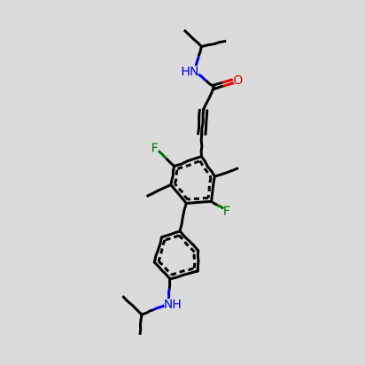 Cc1c(F)c(-c2ccc(NC(C)C)cc2)c(C)c(F)c1C#CC(=O)NC(C)C